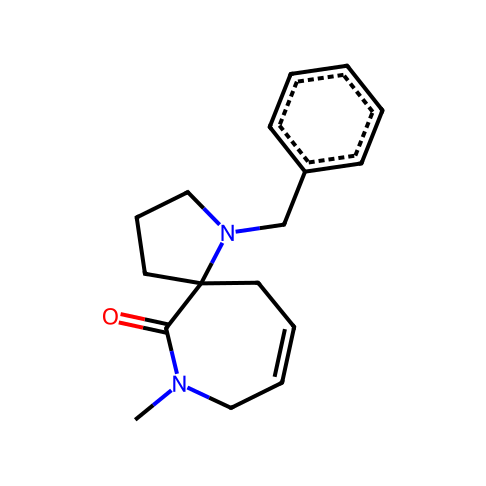 CN1CC=CCC2(CCCN2Cc2ccccc2)C1=O